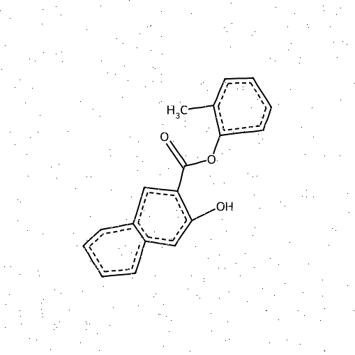 Cc1ccccc1OC(=O)c1cc2ccccc2cc1O